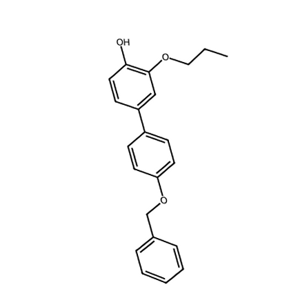 CCCOc1cc(-c2ccc(OCc3ccccc3)cc2)ccc1O